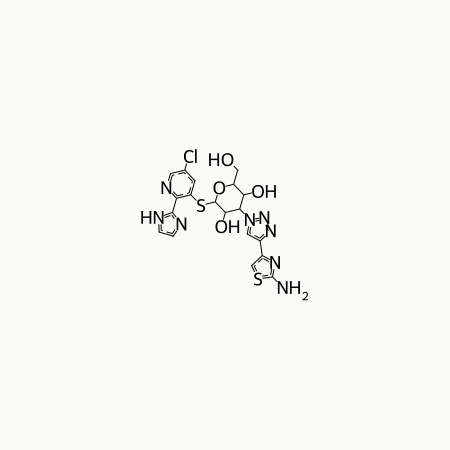 Nc1nc(-c2cn(C3C(O)C(CO)OC(Sc4cc(Cl)cnc4-c4ncc[nH]4)C3O)nn2)cs1